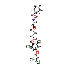 ClC(Cl)=CCOc1cc(Cl)c(OCCCCOCC=NOCc2ccccc2)c(Cl)c1